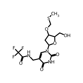 CSCOC1CC(n2cc(CNC(=O)C(F)(F)F)c(=O)[nH]c2=O)OC1CO